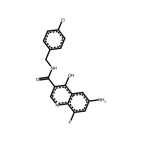 Nc1cc(F)c2ncc(C(=O)NCc3ccc(Cl)cc3)c(O)c2c1